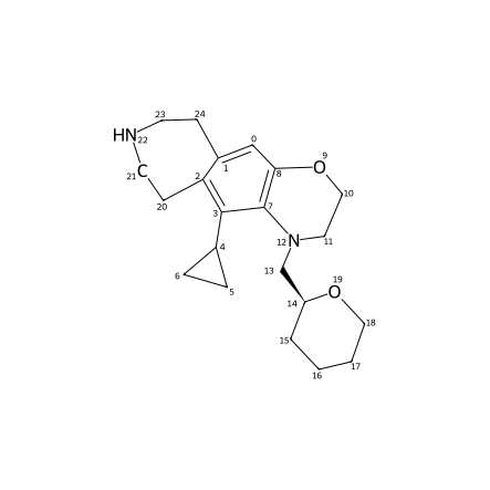 c1c2c(c(C3CC3)c3c1OCCN3C[C@@H]1CCCCO1)CCNCC2